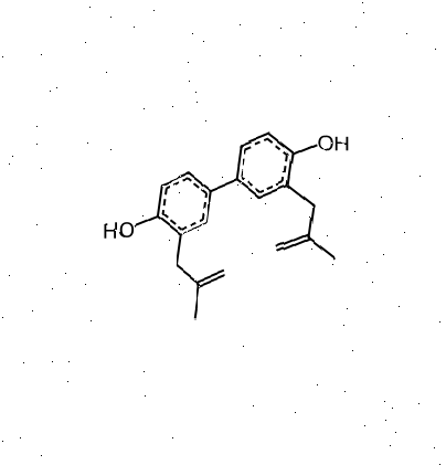 C=C(C)Cc1cc(-c2ccc(O)c(CC(=C)C)c2)ccc1O